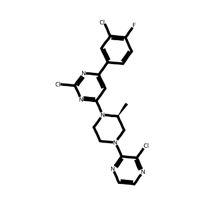 C[C@H]1CN(c2nccnc2Cl)CCN1c1cc(-c2ccc(F)c(Cl)c2)nc(Cl)n1